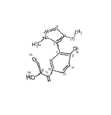 COc1cnn(C)c1-c1cc(NC(=O)O)ccc1O